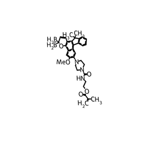 BC1(B)C=Cc2c3c(c4cc(N5CCN(C(=O)NCCOC(=O)C(=C)C)CC5)c(OC)cc4c2O1)-c1ccccc1C3(C)C